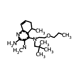 C=Nc1c(N)nc2c(c1N(CCOCCC)CC(C)(C)C)C(C)CC=C2